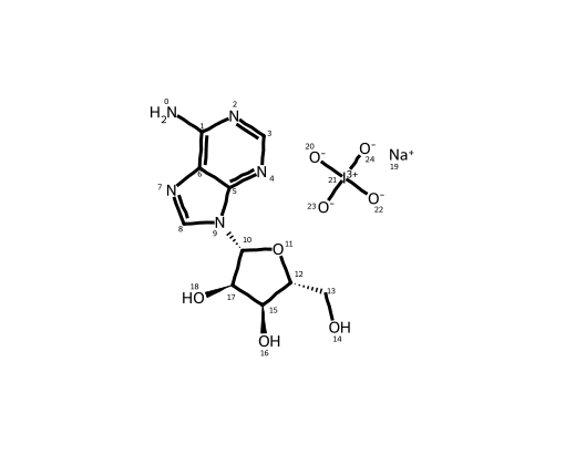 Nc1ncnc2c1ncn2[C@@H]1O[C@H](CO)[C@@H](O)[C@H]1O.[Na+].[O-][I+3]([O-])([O-])[O-]